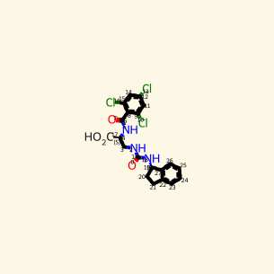 O=C(NC[C@H](NC(=O)c1c(Cl)cc(Cl)cc1Cl)C(=O)O)N[C@@H]1CCc2ccccc21